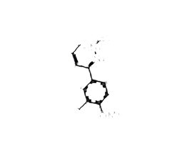 C/C=C\C(=N/NCC)c1ccc(OC)c(C)c1